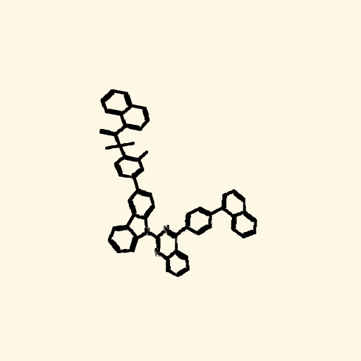 C=C(c1cccc2ccccc12)C(C)(C)c1ccc(-c2ccc3c(c2)c2ccccc2n3-c2nc(-c3ccc(-c4cccc5ccccc45)cc3)c3ccccc3n2)cc1C